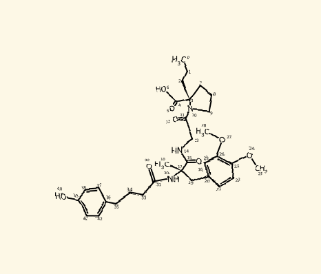 CCC[C@@]1(C(=O)O)CCCN1C(=O)CNC(=O)[C@](C)(Cc1ccc(OC)c(OC)c1)NC(=O)CCCc1ccc(O)cc1